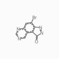 O=C1N=Nc2c(Br)cc3ncncc3c21